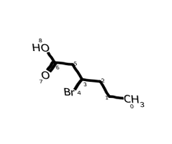 CCCC(Br)CC(=O)O